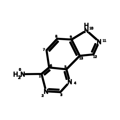 Nc1ncnc2c1ccc1[nH]ncc12